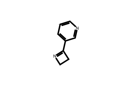 [c]1cncc(C2=NCC2)c1